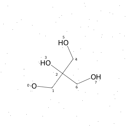 [O]CC(O)(CO)CO